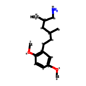 CCOc1ccc(OCC)c(CCC(C)CC(CN)C(=O)O)c1